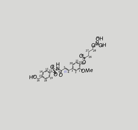 COc1cc(/C=C/C(=O)NS(=O)(=O)c2ccc(CO)cc2)ccc1OC(=O)CCCON(O)O